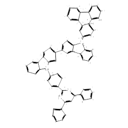 c1ccc(-c2cc(-c3ccccc3)nc(-c3ccc(-n4c5ccccc5c5ccc(-c6ccc7c(c6)c6ccccc6n7-c6ccc7c8ccccc8c8ccccc8c7c6)cc54)cc3)n2)cc1